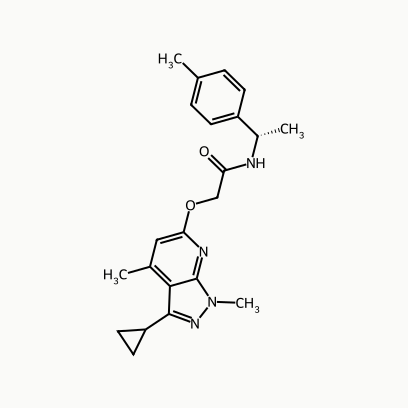 Cc1ccc([C@H](C)NC(=O)COc2cc(C)c3c(C4CC4)nn(C)c3n2)cc1